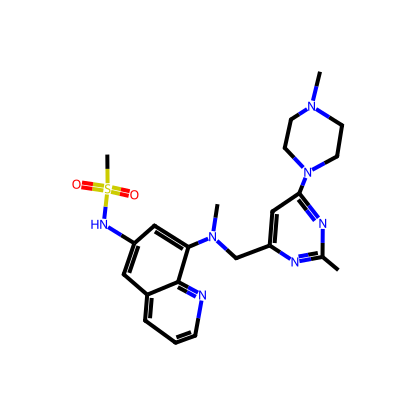 Cc1nc(CN(C)c2cc(NS(C)(=O)=O)cc3cccnc23)cc(N2CCN(C)CC2)n1